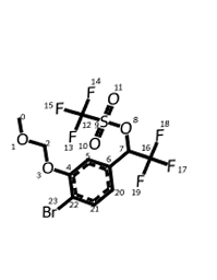 COCOc1cc(C(OS(=O)(=O)C(F)(F)F)C(F)(F)F)ccc1Br